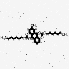 CCCCCCCOC(=O)Oc1c2ccccc2c(OC(=O)OCCCCCCC)c2cc(C)ccc12